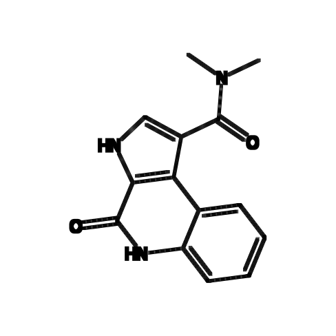 CN(C)C(=O)c1c[nH]c2c(=O)[nH]c3ccccc3c12